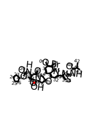 COc1ccc2c(O[C@@H]3C[C@@H](C(=O)O)N(C(=O)C(NC(=O)OC4CCCC4)C(C)(C)C)C3)cc(-c3csc(NC(=O)C(C)C)n3)nc2c1Br